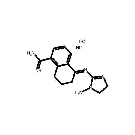 Cl.Cl.N=C(N)c1cccc2c1CCCC2=NC1=NCCN1N